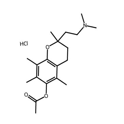 CC(=O)Oc1c(C)c(C)c2c(c1C)CCC(C)(CCN(C)C)O2.Cl